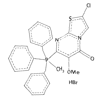 Br.COc1c(P(C)(c2ccccc2)(c2ccccc2)c2ccccc2)nc2sc(Cl)cn2c1=O